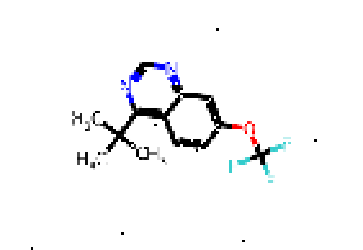 CC(C)(C)c1ncnc2cc(OC(F)(F)F)ccc12